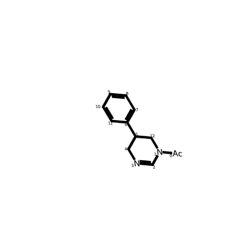 CC(=O)N1C=NCC(c2ccccc2)C1